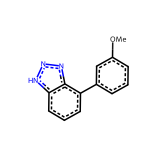 [CH2]Oc1cccc(-c2cccc3[nH]nnc23)c1